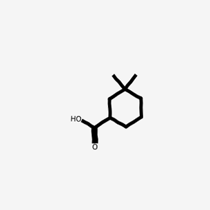 CC1(C)CCCC(C(=O)O)C1